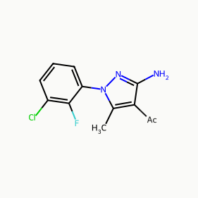 CC(=O)c1c(N)nn(-c2cccc(Cl)c2F)c1C